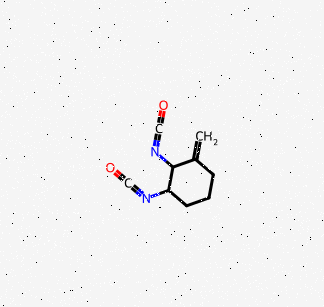 C=C1CCCC(N=C=O)C1N=C=O